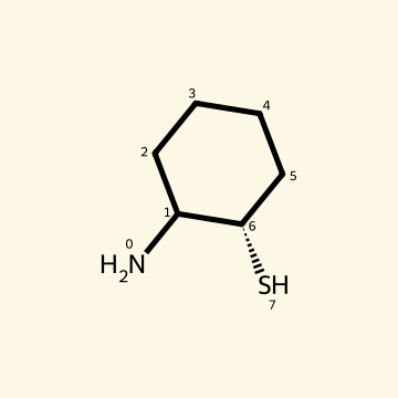 NC1CCCC[C@@H]1S